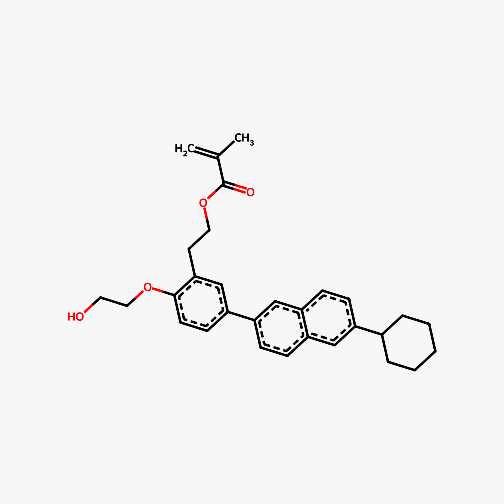 C=C(C)C(=O)OCCc1cc(-c2ccc3cc(C4CCCCC4)ccc3c2)ccc1OCCO